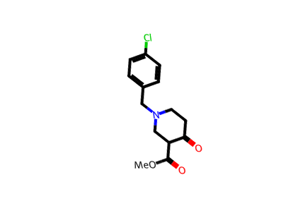 COC(=O)C1CN(Cc2ccc(Cl)cc2)CCC1=O